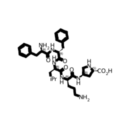 CC(C)C[C@@H](NC(=O)[C@@H](Cc1ccccc1)NC(=O)[C@H](N)Cc1ccccc1)C(=O)N[C@H](CCCN)C(=O)N[C@H]1CN[C@H](C(=O)O)C1